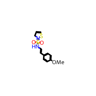 COc1ccc(/C=C/NS(=O)(=O)N2CC=CS2)cc1